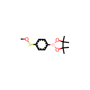 COSc1ccc(B2OC(C)(C)C(C)(C)O2)cc1